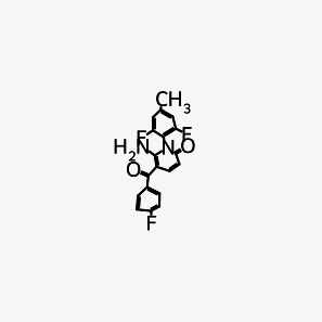 Cc1cc(F)c(-n2c(N)c(C(=O)c3ccc(F)cc3)ccc2=O)c(F)c1